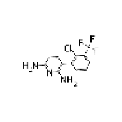 Nc1ccc(-c2cccc(C(F)(F)F)c2Cl)c(N)n1